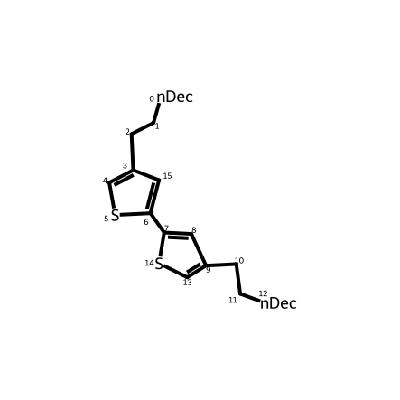 CCCCCCCCCCCCc1csc(-c2cc(CCCCCCCCCCCC)cs2)c1